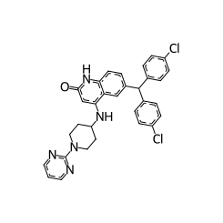 O=c1cc(NC2CCN(c3ncccn3)CC2)c2cc(C(c3ccc(Cl)cc3)c3ccc(Cl)cc3)ccc2[nH]1